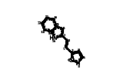 C(=C\c1ccns1)/c1cc2ccccc2[nH]1